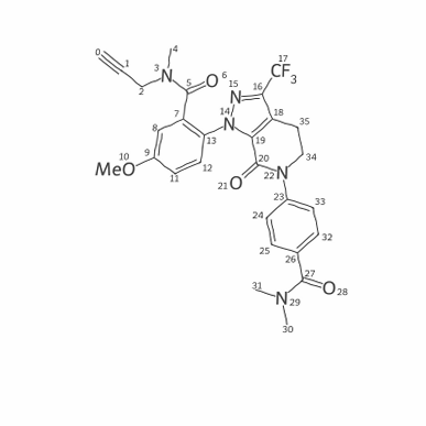 C#CCN(C)C(=O)c1cc(OC)ccc1-n1nc(C(F)(F)F)c2c1C(=O)N(c1ccc(C(=O)N(C)C)cc1)CC2